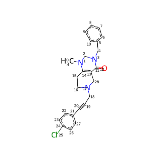 CN1CN(Cc2ccccc2)C(=O)C2=C1CCN(CC#Cc1ccc(Cl)cc1)C2